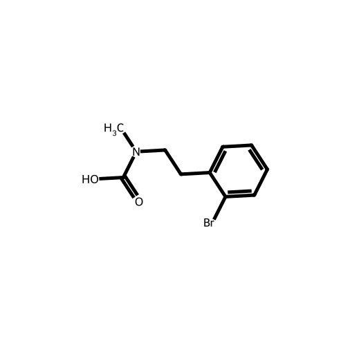 CN(CCc1ccccc1Br)C(=O)O